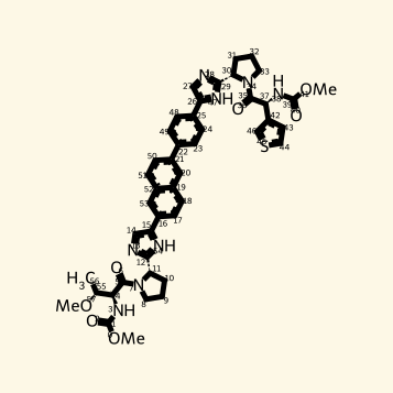 COC(=O)N[C@H](C(=O)N1CCC[C@H]1c1ncc(-c2ccc3cc(-c4ccc(-c5cnc([C@@H]6CCCN6C(=O)[C@H](NC(=O)OC)c6ccsc6)[nH]5)cc4)ccc3c2)[nH]1)[C@@H](C)OC